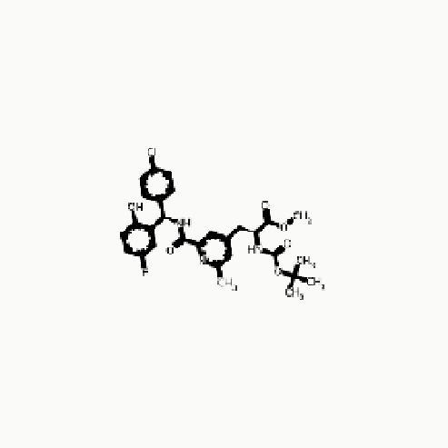 COC(=O)[C@H](Cc1cc(C)nc(C(=O)N[C@H](c2ccc(Cl)cc2)c2cc(F)ccc2O)c1)NC(=O)OC(C)(C)C